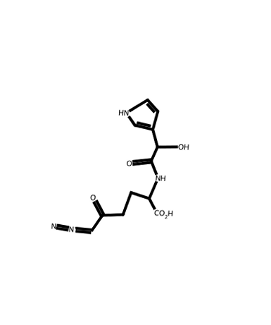 [N-]=[N+]=CC(=O)CCC(NC(=O)C(O)c1cc[nH]c1)C(=O)O